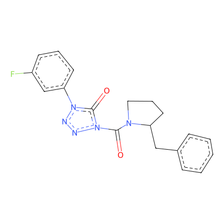 O=C(N1CCCC1Cc1ccccc1)n1nnn(-c2cccc(F)c2)c1=O